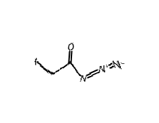 [N-]=[N+]=NC(=O)CI